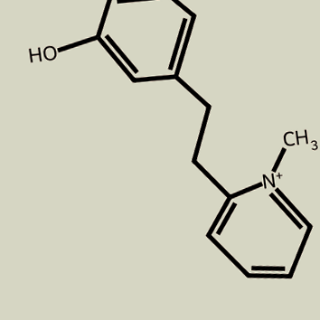 C[n+]1ccccc1CCc1cccc(O)c1